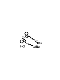 CC(C)(C)OCCCCCCC1=C[CH]([Zr][CH]2C=C(CCCCCCOC(C)(C)C)C3=C2CCCC3)C2=C1CCCC2.Cl